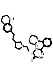 O=C(N[C@@H](CCN1CCC(CCc2ccc3c(n2)NCCC3)C1)C(=O)O)c1ccccc1N1CCOCC1